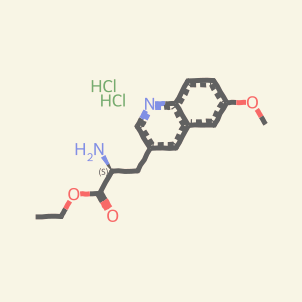 CCOC(=O)[C@@H](N)Cc1cnc2ccc(OC)cc2c1.Cl.Cl